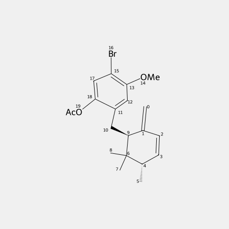 C=C1C=C[C@H](C)C(C)(C)[C@H]1Cc1cc(OC)c(Br)cc1OC(C)=O